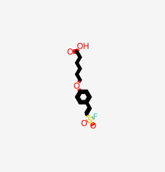 O=C(O)CCCCCOc1ccc(C=CS(=O)(=O)F)cc1